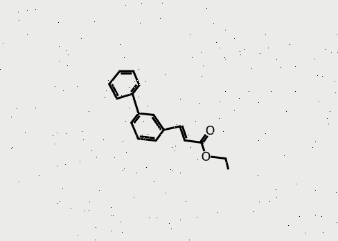 CCOC(=O)/C=C/c1cccc(-c2ccccc2)c1